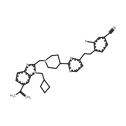 C=C(C)c1ccc2nc(CN3CCC(c4nccc(CCc5ccc(C#N)cc5F)n4)CC3)n(CC3CCC3)c2c1